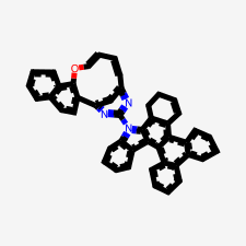 C1=Cc2c(c3c(c4ccccc4n3-c3nc4cc(n3)-c3ccc5ccccc5c3O/C=C/C=C\4)c3c4ccccc4c4ccccc4c23)CC1